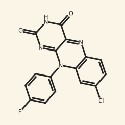 O=c1nc2n(-c3ccc(F)cc3)c3cc(Cl)ccc3nc-2c(=O)[nH]1